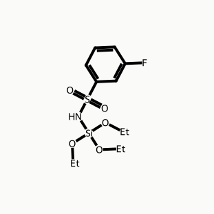 CCO[Si](NS(=O)(=O)c1cccc(F)c1)(OCC)OCC